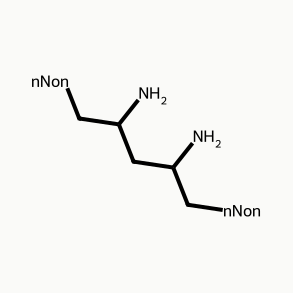 CCCCCCCCCCC(N)CC(N)CCCCCCCCCC